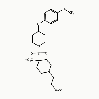 COCCN1CCC(C(=O)O)(S(=O)(=O)N2CCC(Oc3ccc(OC(F)(F)F)cc3)CC2)CC1